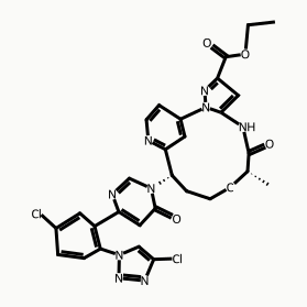 CCOC(=O)c1cc2n(n1)-c1ccnc(c1)[C@@H](n1cnc(-c3cc(Cl)ccc3-n3cc(Cl)nn3)cc1=O)CCC[C@@H](C)C(=O)N2